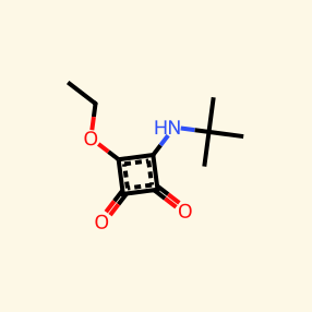 CCOc1c(NC(C)(C)C)c(=O)c1=O